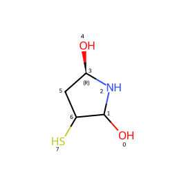 OC1N[C@H](O)CC1S